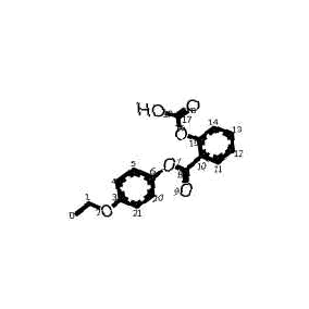 CCOc1ccc(OC(=O)c2ccccc2OC(=O)O)cc1